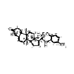 C[C@]12CCC(=O)NC1=CC[C@@H]1[C@H]2CC[C@]2(C)C(C(=O)Nc3cc(C(F)(F)F)ccc3C(F)(F)F)CC[C@@H]12